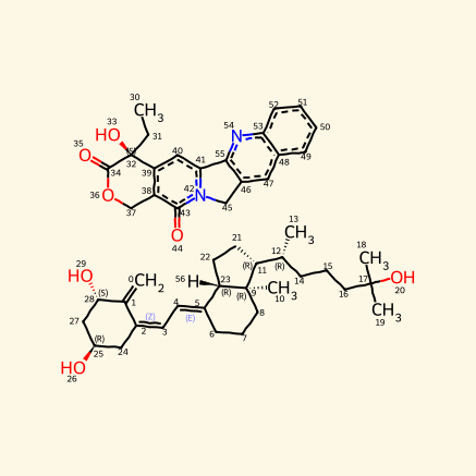 C=C1/C(=C\C=C2/CCC[C@]3(C)[C@@H]([C@H](C)CCCC(C)(C)O)CC[C@@H]23)C[C@@H](O)C[C@@H]1O.CC[C@@]1(O)C(=O)OCc2c1cc1n(c2=O)Cc2cc3ccccc3nc2-1